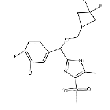 Cc1[nH]c(C(OCC2CC(F)(F)C2)c2ccc(F)c(Cl)c2)nc1S(C)(=O)=O